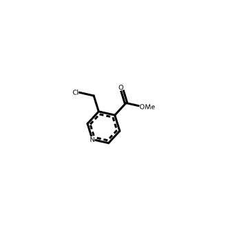 COC(=O)c1ccncc1CCl